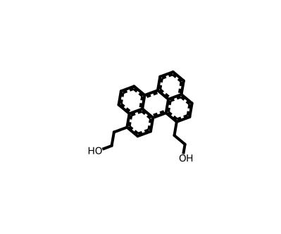 OCCc1ccc2c3c(CCO)ccc4cccc(c5cccc1c52)c43